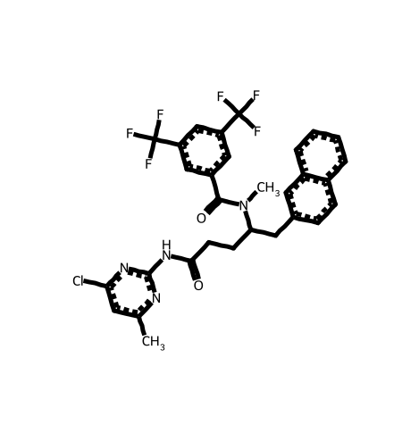 Cc1cc(Cl)nc(NC(=O)CCC(Cc2ccc3ccccc3c2)N(C)C(=O)c2cc(C(F)(F)F)cc(C(F)(F)F)c2)n1